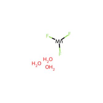 O.O.O.[F][Mn]([F])[F]